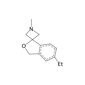 CCc1ccc2c(c1)COC21CN(C)C1